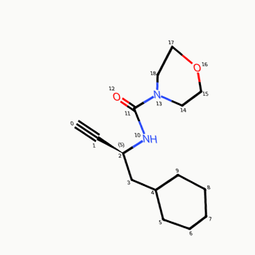 C#C[C@H](CC1CCCCC1)NC(=O)N1CCOCC1